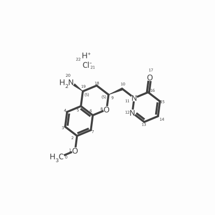 COc1ccc2c(c1)O[C@H](Cn1ncccc1=O)C[C@@H]2N.[Cl-].[H+]